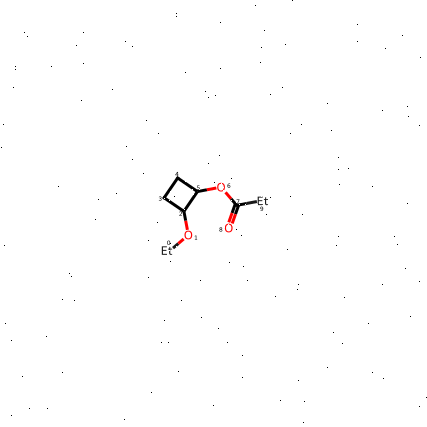 CCOC1CCC1OC(=O)CC